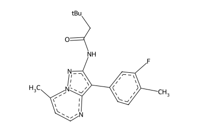 Cc1ccc(-c2c(NC(=O)CC(C)(C)C)nn3c(C)ccnc23)cc1F